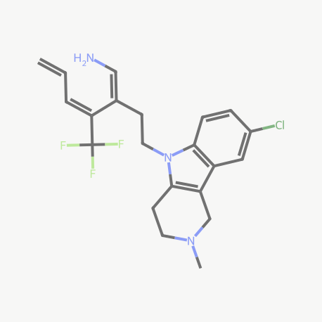 C=C/C=C(\C(=C/N)CCn1c2c(c3cc(Cl)ccc31)CN(C)CC2)C(F)(F)F